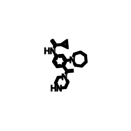 C=C(Nc1ccc(C(=C)N2CCNCC2)c(N2CCCCCC2)c1)C1CC1